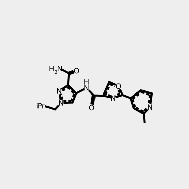 Cc1cc(-c2nc(C(=O)Nc3cn(CC(C)C)nc3C(N)=O)co2)ccn1